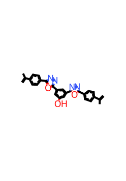 C=C(C)c1ccc(-c2nnc(-c3cc(O)cc(-c4nnc(-c5ccc(C(=C)C)cc5)o4)c3)o2)cc1